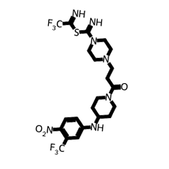 N=C(SC(=N)C(F)(F)F)N1CCN(CCC(=O)N2CCC(Nc3ccc([N+](=O)[O-])c(C(F)(F)F)c3)CC2)CC1